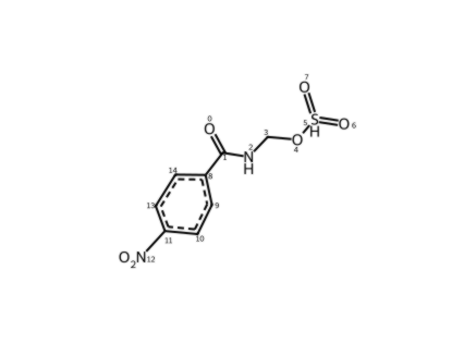 O=C(NCO[SH](=O)=O)c1ccc([N+](=O)[O-])cc1